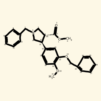 COC(=O)[C@H]1CN(Cc2ccccc2)C[C@@H]1c1ccc(OC)c(OCc2ccccc2)c1